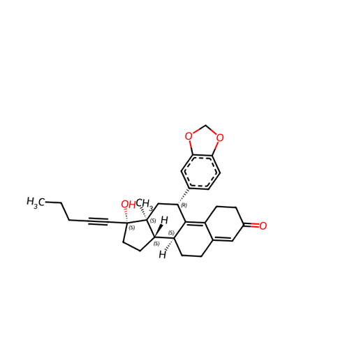 CCCC#C[C@]1(O)CC[C@H]2[C@@H]3CCC4=CC(=O)CCC4=C3[C@@H](c3ccc4c(c3)OCO4)C[C@@]21C